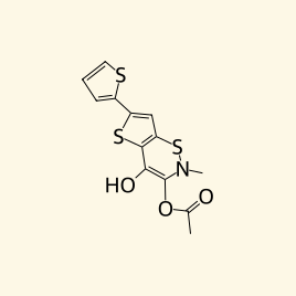 CC(=O)OC1=C(O)c2sc(-c3cccs3)cc2SN1C